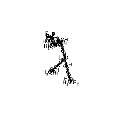 CNC(=O)[C@H](CCN(C(=O)CO)[C@@H](c1cc(-c2cc(F)ccc2F)cn1Cc1ccccc1)C(C)(C)C)NC(=O)[C@@H](NC(=O)[C@@H]1CCCN1C(=O)[C@H](CC(=O)O)NC(=O)CCOCCOCCOCCNC(=O)[C@H](CCCCNC(=O)CCOCCOCCOCCNC(=O)OC(C)(C)C)NC(=O)CCOCCOCCOCCNC(=O)OC(C)(C)C)C(C)C